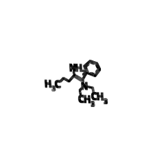 CCCC(N)=C(c1ccccc1)N(CC)CC